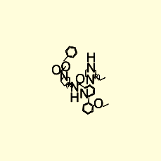 CCOc1ccccc1-c1ccc(N2CCNC[C@H]2CC)c(C(=O)N[C@@H]2CCN(C(=O)OCc3ccccc3)C2)n1